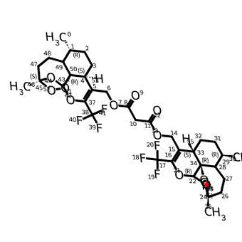 C[C@@H]1CC[C@H]2C(COC(=O)CC(=O)OCC3=C(C(F)(F)F)O[C@@H]4O[C@]5(C)CCC6[C@H](C)CC[C@@H]3[C@]64OO5)=C(C(F)(F)F)OC3O[C@]4(C)CCC1[C@]32OO4